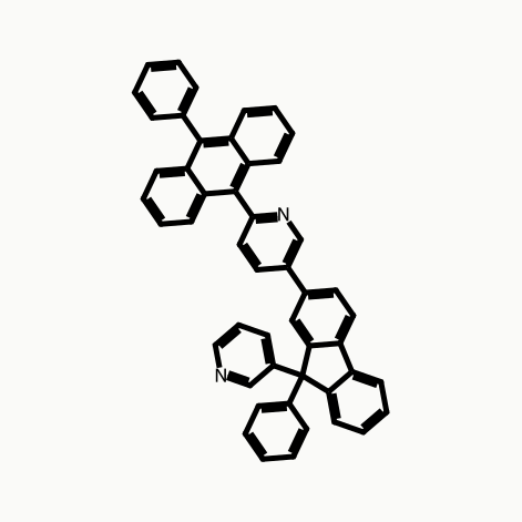 c1ccc(-c2c3ccccc3c(-c3ccc(-c4ccc5c(c4)C(c4ccccc4)(c4cccnc4)c4ccccc4-5)cn3)c3ccccc23)cc1